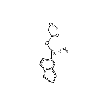 CCC(=O)O[C@H](C)c1ccc2ccccc2c1